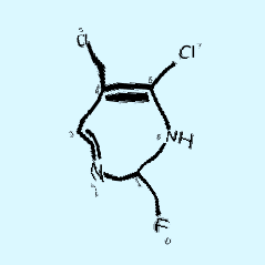 F[C]1N=CC(Cl)=C(Cl)N1